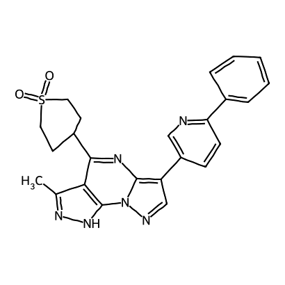 Cc1n[nH]c2c1c(C1CCS(=O)(=O)CC1)nc1c(-c3ccc(-c4ccccc4)nc3)cnn12